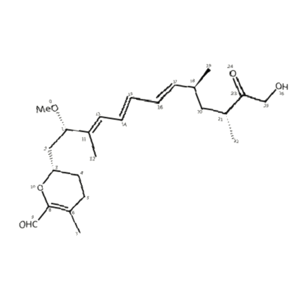 CO[C@@H](C[C@@H]1CCC(C)=C(C=O)O1)/C(C)=C/C=C/C=C/[C@@H](C)C[C@@H](C)C(=O)CO